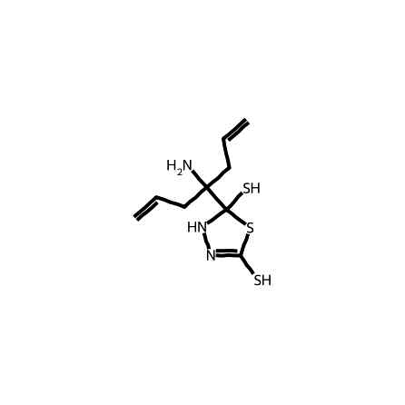 C=CCC(N)(CC=C)C1(S)NN=C(S)S1